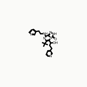 CC(C)(C)c1nc(NCCc2cccnc2)c2n[nH]c(=O)n2c1C(O)CCc1cccnc1